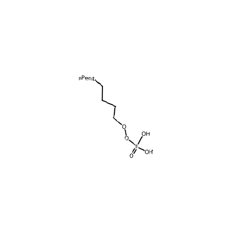 CCCCCCCCCOOP(=O)(O)O